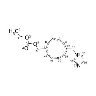 CCOC(=O)OCc1ccccc(Cn2ccnc2)cccc1